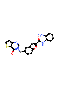 Nc1ccccc1NC(=O)c1cc2cc(Cn3cnc4ccsc4c3=O)ccc2o1